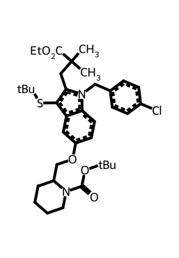 CCOC(=O)C(C)(C)Cc1c(SC(C)(C)C)c2cc(OCC3CCCCN3C(=O)OC(C)(C)C)ccc2n1Cc1ccc(Cl)cc1